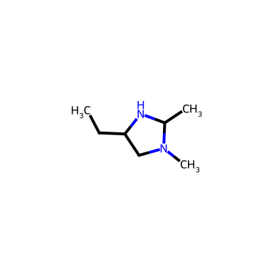 CCC1CN(C)C(C)N1